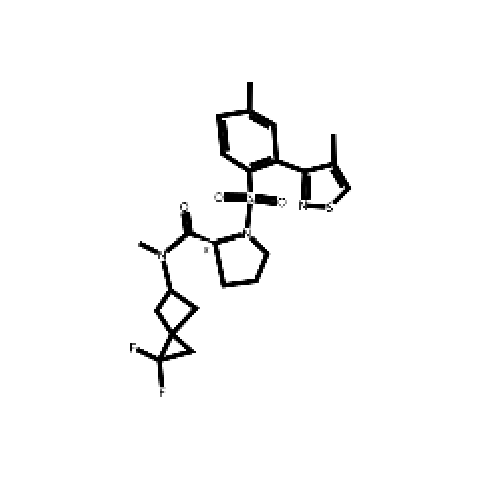 Cc1ccc(S(=O)(=O)N2CCC[C@H]2C(=O)N(C)C2CC3(C2)CC3(F)F)c(-c2nscc2C)c1